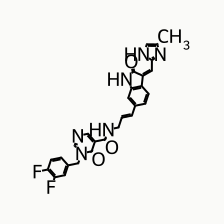 Cc1c[nH]c(C=C2C(=O)Nc3cc(C=CCNC(=O)c4cncn(Cc5ccc(F)c(F)c5)c4=O)ccc32)n1